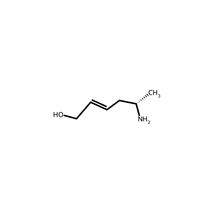 C[C@H](N)C/C=C/CO